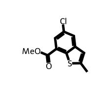 COC(=O)c1cc(Cl)cc2cc(C)sc12